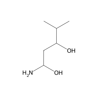 CC(C)C(O)CC(N)O